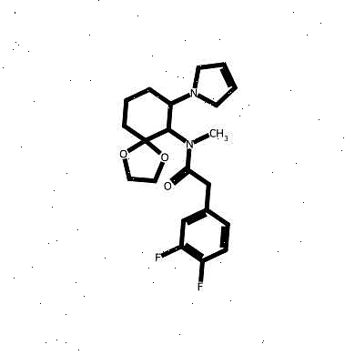 CN(C(=O)Cc1ccc(F)c(F)c1)C1C(N2CC=CC2)CCCC12OCCO2